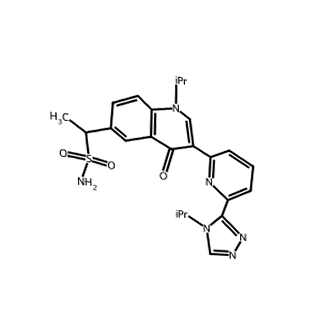 CC(C)n1cnnc1-c1cccc(-c2cn(C(C)C)c3ccc(C(C)S(N)(=O)=O)cc3c2=O)n1